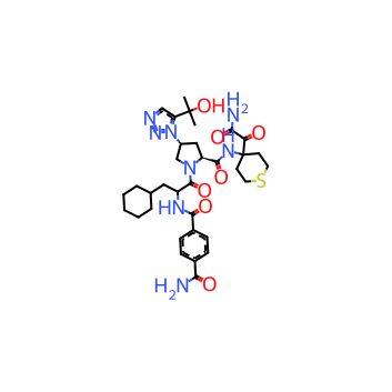 CC(C)(O)c1cnnn1[C@H]1C[C@@H](C(=O)NC2(C(=O)C(N)=O)CCSCC2)N(C(=O)C(CC2CCCCC2)NC(=O)c2ccc(C(N)=O)cc2)C1